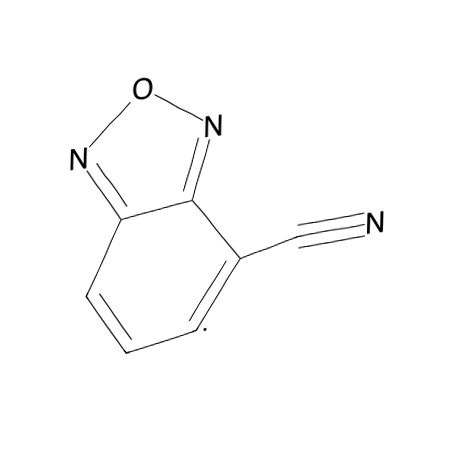 N#Cc1[c]ccc2nonc12